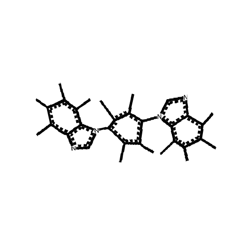 Cc1c(C)c(-n2cnc3c(C)c(C)c(C)c(C)c32)c(C)c(C)c1-n1cnc2c(C)c(C)c(C)c(C)c21